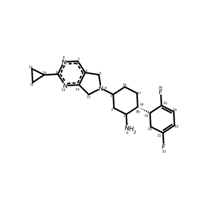 NC1CC(N2Cc3cnc(C4CC4)nc3C2)CC[C@@H]1C1CC(F)=CC=C1F